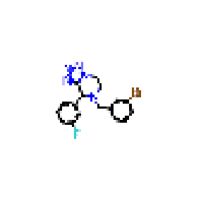 Fc1cccc(C2c3nnnn3CCN2Cc2cccc(Br)c2)c1